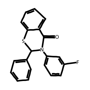 O=C1c2ccccc2SC(c2ccccc2)N1c1cccc(F)c1